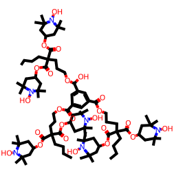 CCCCC(CCCOC(=O)c1cc(C(=O)OCCCC(CCCC)(C(=O)OC2CC(C)(C)N(O)C(C)(C)C2)C(=O)OC2CC(C)(C)N(O)C(C)(C)C2)cc(C(O)OCCCC(CCCC)(C(=O)OC2CC(C)(C)N(O)C(C)(C)C2)C(=O)OC2CC(C)(C)N(O)C(C)(C)C2)c1)(C(=O)OC1CC(C)(C)N(O)C(C)(C)C1)C(=O)OC1CC(C)(C)N(O)C(C)(C)C1